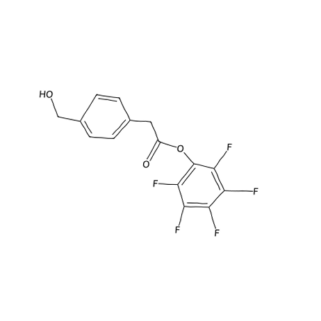 O=C(Cc1ccc(CO)cc1)Oc1c(F)c(F)c(F)c(F)c1F